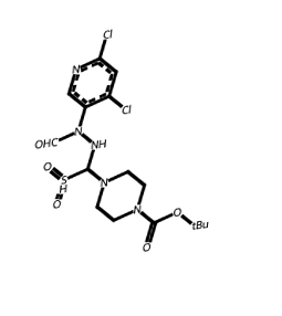 CC(C)(C)OC(=O)N1CCN(C(NN(C=O)c2cnc(Cl)cc2Cl)[SH](=O)=O)CC1